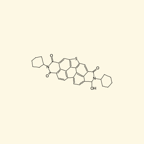 O=C1c2ccc3c4ccc5c6c(cc7sc8cc(c2c3c8c7c64)C(=O)N1C1CCCCC1)C(=O)N(C1CCCCC1)C5O